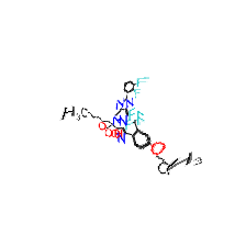 CCCCCCC(C(=O)O)(c1cc(-c2ccc(OCCC)cc2C(F)(F)F)no1)n1cc2nc(-c3cccc(F)c3F)nc-2cn1